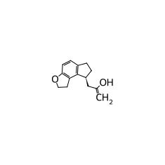 C=C(O)C[C@@H]1CCc2ccc3c(c21)CCO3